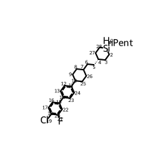 CCCCC[Si@H]1CC[C@H](CCC2CCC(c3ccc(-c4ccc(Cl)c(F)c4)cc3)CC2)CC1